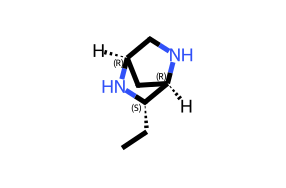 CC[C@@H]1N[C@H]2CN[C@@H]1C2